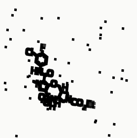 CCOC(=O)N1C[C@H]2COc3c(cn(C)c3C(=O)Nc3ccc(F)c(Cl)c3)S(=O)(=O)N[C@H]2C1